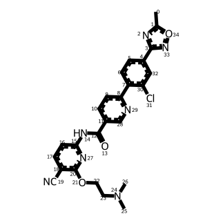 Cc1nc(-c2ccc(-c3ccc(C(=O)Nc4ccc(C#N)c(OCCN(C)C)n4)cn3)c(Cl)c2)no1